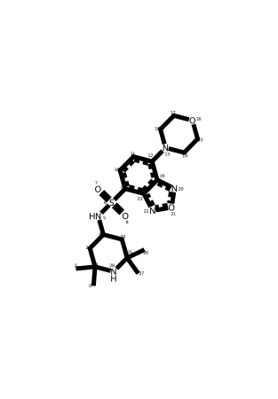 CC1(C)CC(NS(=O)(=O)c2ccc(N3CCOCC3)c3nonc23)CC(C)(C)N1